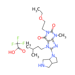 CCOCCn1c(=O)c2c(nc(N3CCC4CNCC43)n2CCC(C)C)n(C)c1=O.O=C(O)C(F)(F)F